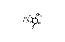 Cc1c[nH]c(=O)[nH]c1=O.NO